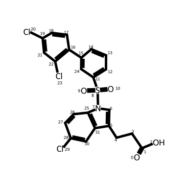 O=C(O)CCc1cn(S(=O)(=O)c2cccc(-c3ccc(Cl)cc3Cl)c2)c2ccc(Cl)cc12